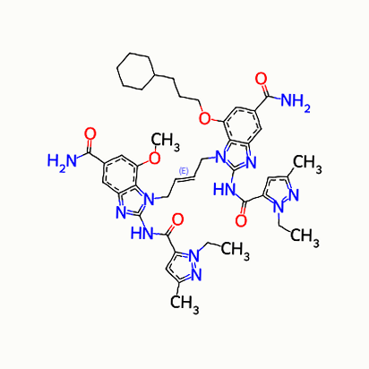 CCn1nc(C)cc1C(=O)Nc1nc2cc(C(N)=O)cc(OC)c2n1C/C=C/Cn1c(NC(=O)c2cc(C)nn2CC)nc2cc(C(N)=O)cc(OCCCC3CCCCC3)c21